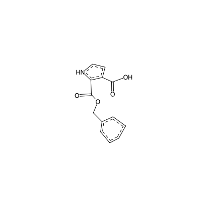 O=C(O)c1cc[nH]c1C(=O)OCc1ccccc1